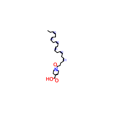 CC/C=C\C/C=C\C/C=C\C/C=C\C/C=C\C/C=C\CCC(=O)N1CC=C(C(=O)O)CC1